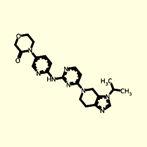 CC(C)n1cnc2c1CN(c1ccnc(Nc3ccc(N4CCOCC4=O)cn3)n1)CC2